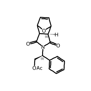 CC(=O)OC[C@H](c1ccccc1)N1C(=O)C2C3C=CC(O3)[C@H]2C1=O